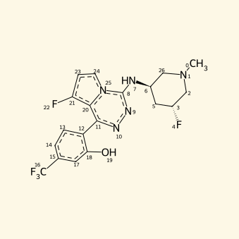 CN1C[C@H](F)C[C@@H](Nc2nnc(-c3ccc(C(F)(F)F)cc3O)c3c(F)ccn23)C1